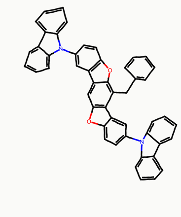 c1ccc(Cc2c3oc4ccc(-n5c6ccccc6c6ccccc65)cc4c3cc3oc4ccc(-n5c6ccccc6c6ccccc65)cc4c23)cc1